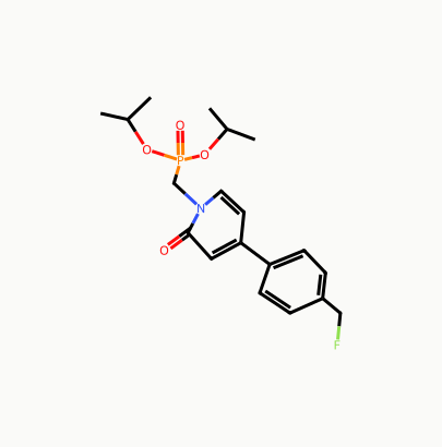 CC(C)OP(=O)(Cn1ccc(-c2ccc(CF)cc2)cc1=O)OC(C)C